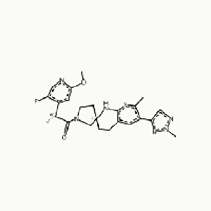 COc1cc([C@@H](C)C(=O)N2CC[C@@]3(CCc4cc(-c5cnn(C)n5)c(C)nc4N3)C2)c(F)cn1